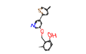 Cc1csc(-c2cncc(OCc3c(C)cccc3O)c2)c1